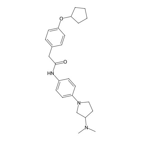 CN(C)C1CCN(c2ccc(NC(=O)Cc3ccc(OC4CCCC4)cc3)cc2)C1